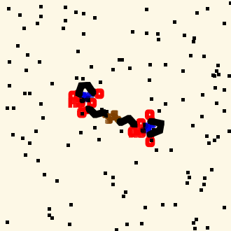 O=C(CCSSCCC(=O)O[N+]1(O)C(=O)CCC1=O)O[N+]1(O)C(=O)CCC1=O